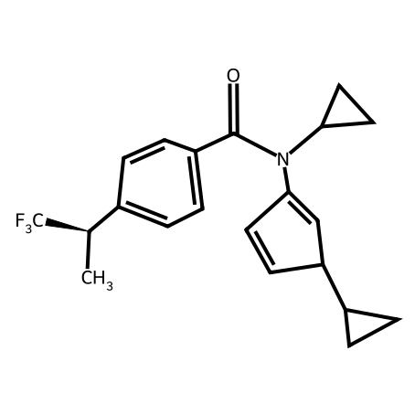 C[C@H](c1ccc(C(=O)N(C2=CC(C3CC3)C=C2)C2CC2)cc1)C(F)(F)F